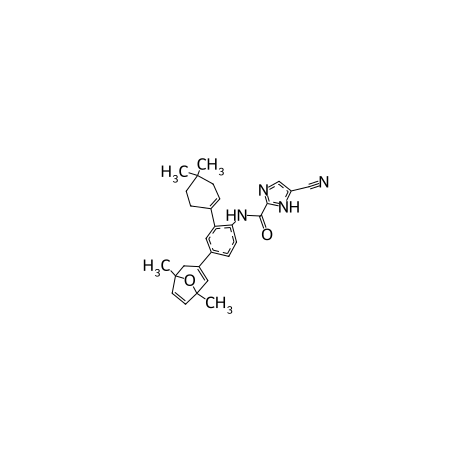 CC1(C)CC=C(c2cc(C3=CC4(C)C=CC(C)(C3)O4)ccc2NC(=O)c2ncc(C#N)[nH]2)CC1